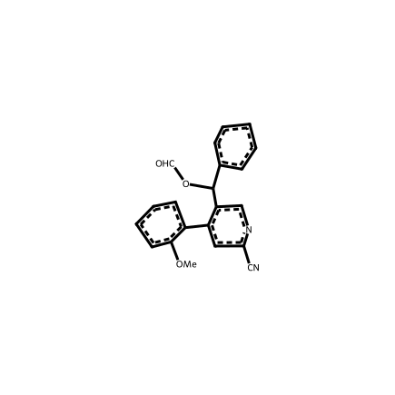 COc1ccccc1-c1cc(C#N)ncc1C(OC=O)c1ccccc1